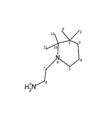 CC1(C)CCCN(CCN)C1(C)C